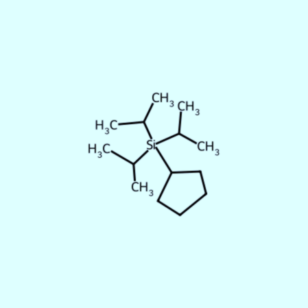 CC(C)[Si](C(C)C)(C(C)C)C1CCCC1